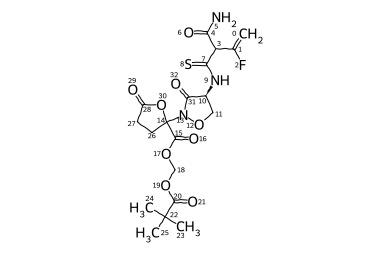 C=C(F)C(C(N)=O)C(=S)N[C@H]1CON(C2(C(=O)OCOC(=O)C(C)(C)C)CCC(=O)O2)C1=O